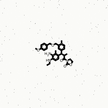 CCNc1ccc(C(c2ccc(C)c(COCc3ccc(OC)cc3)c2)C(C)C(=O)N2CCOC2=O)c(C)c1N